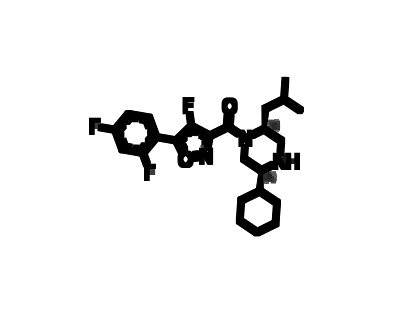 CC(C)C[C@H]1CN[C@@H](C2CCCCC2)CN1C(=O)c1noc(-c2ccc(F)cc2F)c1F